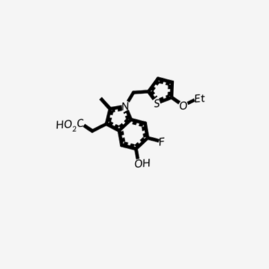 CCOc1ccc(Cn2c(C)c(CC(=O)O)c3cc(O)c(F)cc32)s1